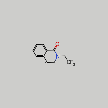 O=C1c2ccccc2[CH]CN1CC(F)(F)F